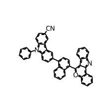 N#Cc1ccc2c(c1)c1cc(-c3ccc(-c4oc5ccccc5c5nc6ccccc6c4-5)c4ccccc34)ccc1n2-c1ccccc1